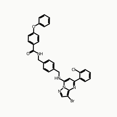 O=C(NCc1ccc(CNc2cc(-c3ccccc3Cl)nc3c(Br)cnn23)cc1)c1ccc(Oc2ccccc2)cc1